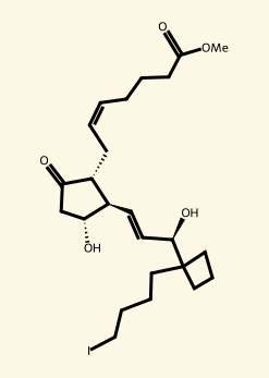 COC(=O)CCC/C=C\C[C@H]1C(=O)C[C@@H](O)[C@@H]1/C=C/[C@@H](O)C1(CCCCI)CCC1